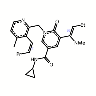 CC/C=C(\NC)c1cc(C(=O)NC2CC2)cn(Cc2nccc(C)c2/C=C\C(C)C)c1=O